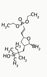 B[C@@H]1O[C@H](/C=C/P(=O)(OCC)OCC)C[C@@H]1CC(C)(C)[Si](C)(C)O